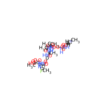 CC[C@@]1(O)C(=O)OCc2c1cc1n(c2=O)Cc2c-1nc1cc(F)c(C)c3c1c2[C@@H](NC(=O)OCc1ccc(NC(=O)[C@H](C)CNC(=O)[C@H](C)NC(=O)[C@@H](NC(=O)OCCOCCNS(=O)(=O)NC(=O)OC[C@@H]2[C@@H]4CC/C=C(\C)CC[C@@H]42)C(C)C)cc1)CC3